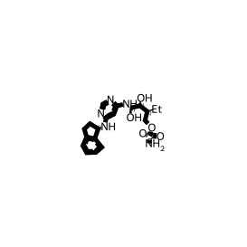 CC[C@H](COS(N)(=O)=O)[C@@H](O)[C@@H](O)Nc1cc(N[C@H]2CCc3ccccc32)ncn1